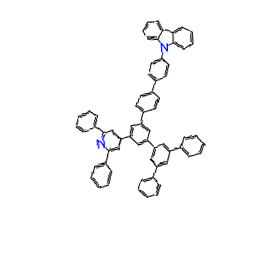 c1ccc(-c2cc(-c3ccccc3)cc(-c3cc(-c4ccc(-c5ccc(-n6c7ccccc7c7ccccc76)cc5)cc4)cc(-c4cc(-c5ccccc5)nc(-c5ccccc5)c4)c3)c2)cc1